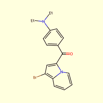 CCN(CC)c1ccc(C(=O)c2cc(Br)c3ccccn23)cc1